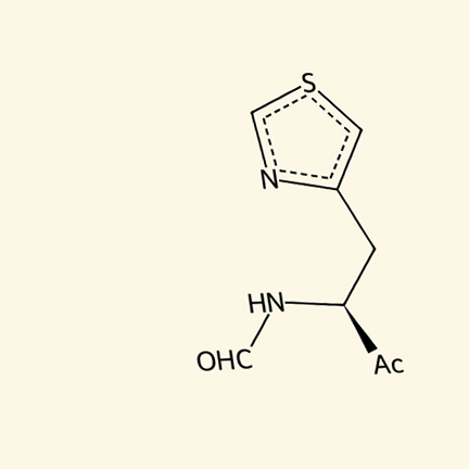 CC(=O)[C@H](Cc1cscn1)NC=O